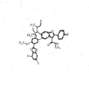 CNC(=O)c1c(-c2ccc(F)cc2)oc2cc(N(C(C)CF)S(C)(=O)=O)c(-c3ccc(OC)c(-c4nc5cc(F)cc(F)c5o4)c3)cc12